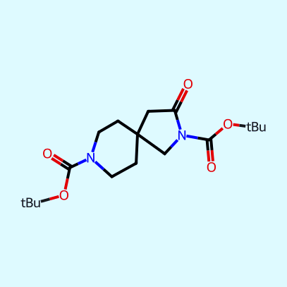 CC(C)(C)OC(=O)N1CCC2(CC1)CC(=O)N(C(=O)OC(C)(C)C)C2